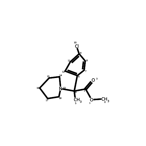 COC(=O)C(C)(c1ccc(Cl)cc1)N1CCCCC1